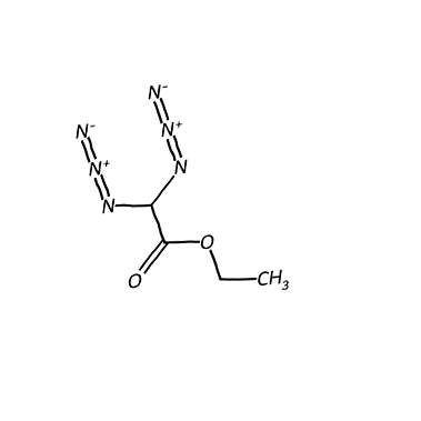 CCOC(=O)C(N=[N+]=[N-])N=[N+]=[N-]